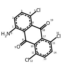 Nc1ccc(Cl)c2c1C(=O)c1c(Cl)ccc(Cl)c1C2=O